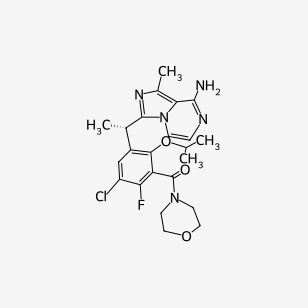 Cc1nc([C@@H](C)c2cc(Cl)c(F)c(C(=O)N3CCOCC3)c2OC(C)C)n2ccnc(N)c12